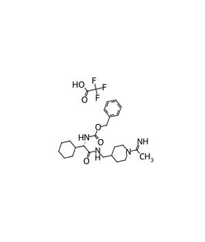 CC(=N)N1CCC(CNC(=O)[C@@H](NC(=O)OCc2ccccc2)C2CCCCC2)CC1.O=C(O)C(F)(F)F